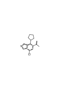 C=C(C)c1cc(Cl)c2cncn2c1C1CCCC1